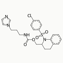 O=C(NCCCn1ccnc1)OCC1CCc2ccccc2N1S(=O)(=O)c1ccc(Cl)cc1